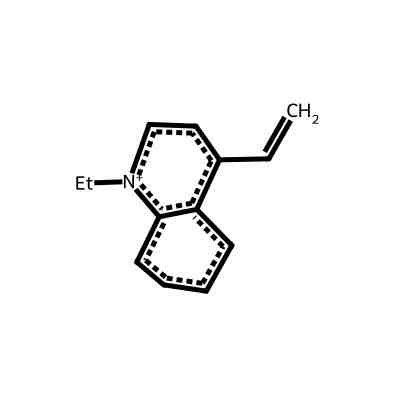 C=Cc1cc[n+](CC)c2ccccc12